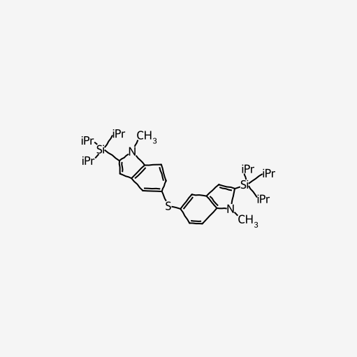 CC(C)[Si](c1cc2cc(Sc3ccc4c(c3)cc([Si](C(C)C)(C(C)C)C(C)C)n4C)ccc2n1C)(C(C)C)C(C)C